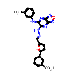 Cc1cccc(Nc2nc3nonc3nc2N/N=C/c2ccc(-c3cccc(C(=O)O)c3)o2)c1